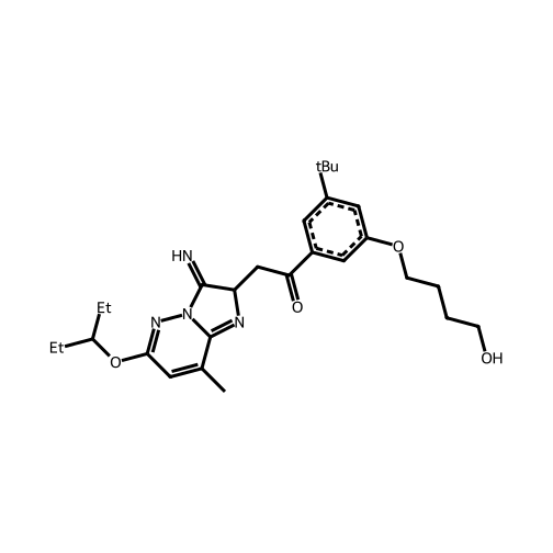 CCC(CC)OC1=NN2C(=N)C(CC(=O)c3cc(OCCCCO)cc(C(C)(C)C)c3)N=C2C(C)=C1